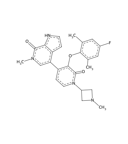 Cc1cc(F)cc(C)c1Oc1c(-c2cn(C)c(=O)c3[nH]ccc23)ccn(C2CN(C)C2)c1=O